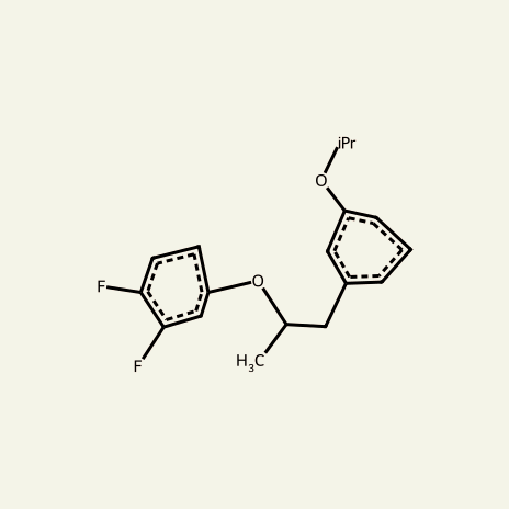 CC(C)Oc1cccc(CC(C)Oc2ccc(F)c(F)c2)c1